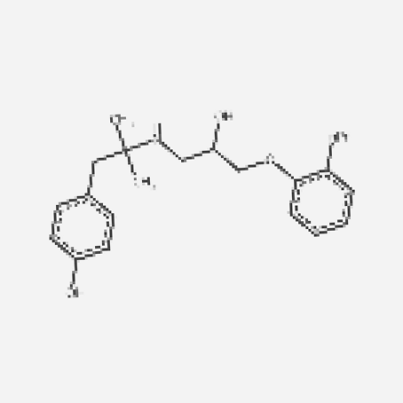 CCCc1ccccc1OCC(O)CNC(C)(C)Cc1ccc(O)cc1